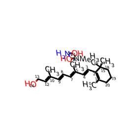 CC1=C(/C=C/C(C)=C/C=C/C(C)=C/CO)C(C)(C)CCC1.CNO.NO